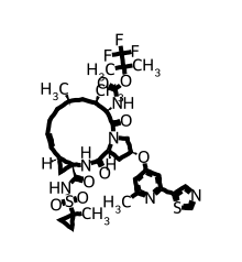 Cc1cc(O[C@@H]2C[C@H]3C(=O)N[C@]4(C(=O)NS(=O)(=O)C5(C)CC5)C[C@H]4/C=C\CC[C@@H](C)C[C@@H](C)[C@H](NC(=O)OC(C)(C)C(F)(F)F)C(=O)N3C2)cc(-c2cncs2)n1